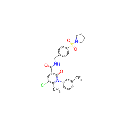 Cc1c(Cl)cc(C(=O)NCc2ccc(S(=O)(=O)N3CCCC3)cc2)c(=O)n1-c1cccc(C(F)(F)F)c1